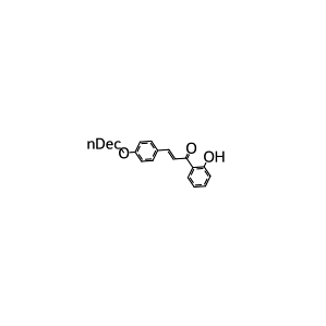 CCCCCCCCCCOc1ccc(/C=C/C(=O)c2ccccc2O)cc1